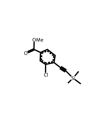 COC(=O)c1ccc(C#C[Si](C)(C)C)c(Cl)c1